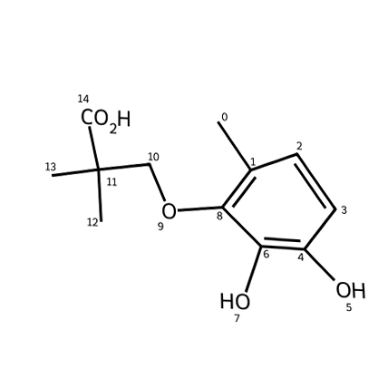 Cc1ccc(O)c(O)c1OCC(C)(C)C(=O)O